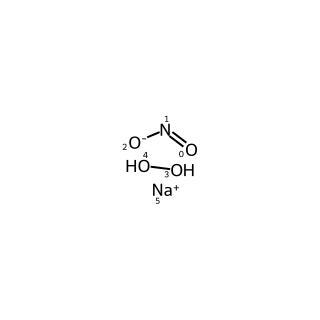 O=N[O-].OO.[Na+]